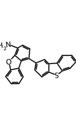 Nc1ccc(-c2ccc3sc4ccccc4c3c2)c2c1oc1ccccc12